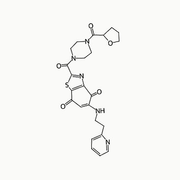 O=C1C(NCCc2ccccn2)=CC(=O)c2sc(C(=O)N3CCN(C(=O)C4CCCO4)CC3)nc21